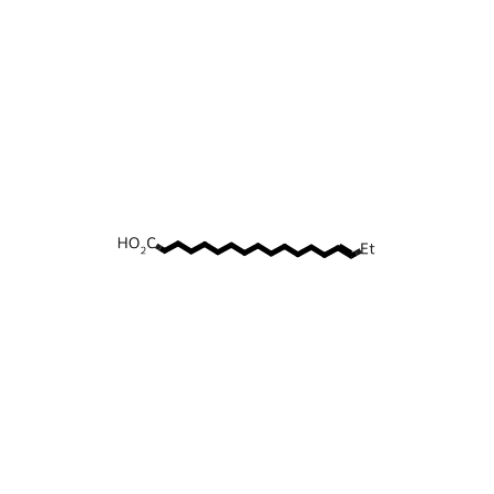 CCC=CCCCCCCCCCCCCCC(=O)O